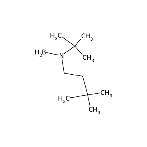 BN(CCC(C)(C)C)C(C)(C)C